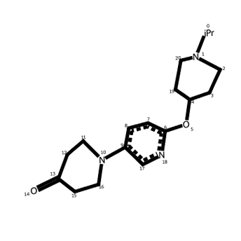 CC(C)N1CCC(Oc2ccc(N3CCC(=O)CC3)cn2)CC1